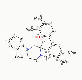 CCN1CCN(c2ccccc2OC)CC1(CO)c1cc(OC)c(OC)cc1-c1ccc(OC)c(OC)c1